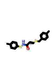 Cc1ccc(CS/C=C/C(=O)NSc2ccc(C)cc2)cc1